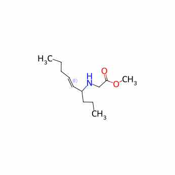 CCC/C=C/C(CCC)NCC(=O)OC